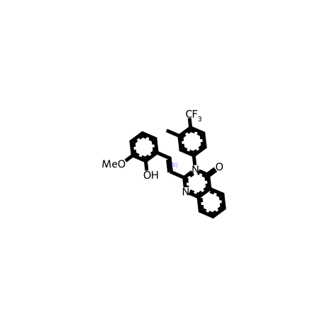 COc1cccc(/C=C/c2nc3ccccc3c(=O)n2-c2ccc(C(F)(F)F)c(C)c2)c1O